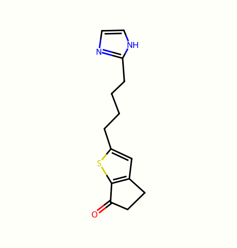 O=C1CCc2cc(CCCCc3ncc[nH]3)sc21